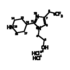 Cl.Cl.OCCn1cc(CC(F)(F)F)nc1C1CCNCC1